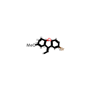 CC=C1c2cc(Br)ccc2Oc2ccc(OC)cc21